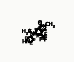 CN1Cc2c(cc(N(C)C3CCNC3)cc2C(F)(F)F)C1=O